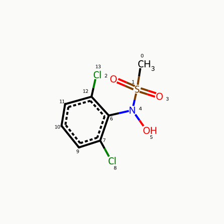 CS(=O)(=O)N(O)c1c(Cl)cccc1Cl